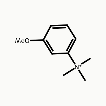 COc1[c]ccc([N+](C)(C)C)c1